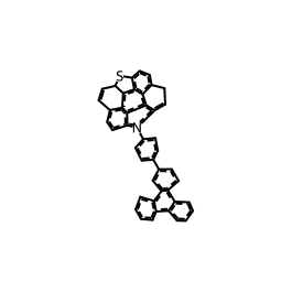 C1=CC2Sc3ccc4c5c3c2c2c1ccc1c2c5c(n1-c1ccc(-c2ccc3c5ccccc5c5ccccc5c3c2)cc1)=CC4